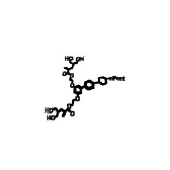 C=C(CC(CO)CO)C(=O)OCCOc1cc(OCCOC(=O)C(=C)CC(CO)CO)cc(-c2ccc(C3CCC(CCCCC)CC3)cc2)c1